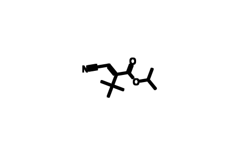 CC(C)OC(=O)C(=CC#N)C(C)(C)C